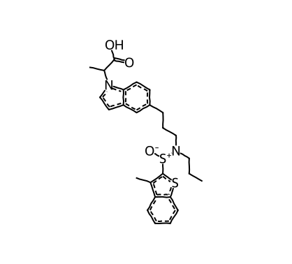 CCCN(CCCc1ccc2c(ccn2C(C)C(=O)O)c1)[S+]([O-])c1sc2ccccc2c1C